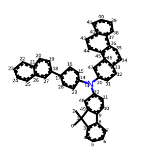 CC1(C)c2ccccc2-c2ccc(N(c3ccc(-c4ccc5ccccc5c4)cc3)c3ccc4ccc5c6ccccc6ccc5c4c3)cc21